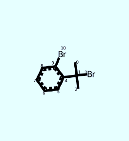 CC(C)(Br)c1ccccc1Br